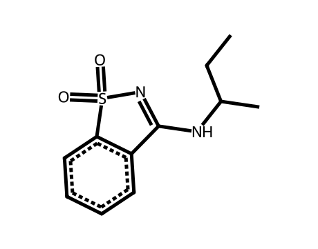 CCC(C)NC1=NS(=O)(=O)c2ccccc21